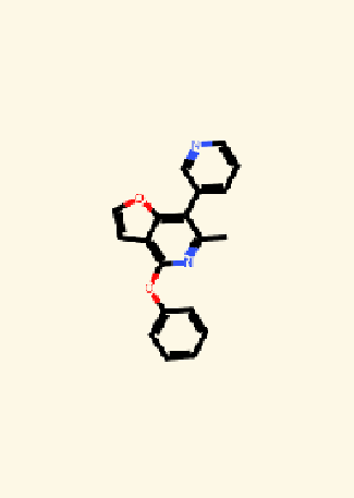 Cc1nc(Oc2ccccc2)c2ccoc2c1-c1cccnc1